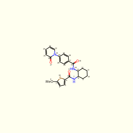 COc1ccc(C(=O)NC2CCCCC2NC(=O)c2ccc(-n3ccccc3=O)cc2)s1